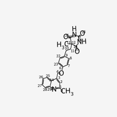 Cc1cc(COc2ccc(CCC3(C)C(=O)NC(=O)NC3=O)cc2)c2ccccc2n1